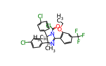 CCOc1cc(C(F)(F)F)ccc1C1=N[C@@](C)(c2ccc(Cl)cc2)[C@@](C)(c2ccc(Cl)cc2)N1C(=O)Cl